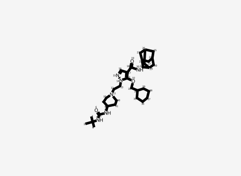 CC(C)(C)NC(=O)NC1CCN(CCn2ncc(C(=O)NC3C4CC5CC(C4)CC3C5)c2OCC2CCCCC2)CC1